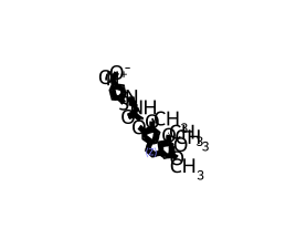 COc1ccc(/C=C\c2cc(OC)c(OC)c(OC)c2)cc1OCC(=O)Nc1nc2cc([N+](=O)[O-])ccc2s1